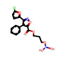 O=C(OCCCON(O)O)c1onc(-c2ccc(Cl)o2)c1-c1ccccc1